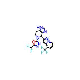 FC(F)c1nnc(N2CCc3[nH]cnc3C2c2cc3c(C(F)(F)F)cccn3n2)o1